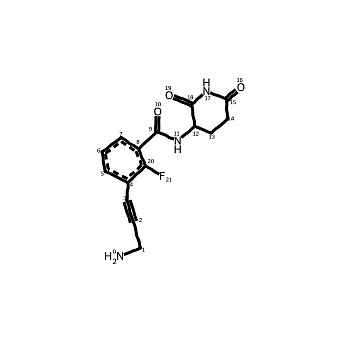 NCC#Cc1cccc(C(=O)NC2CCC(=O)NC2=O)c1F